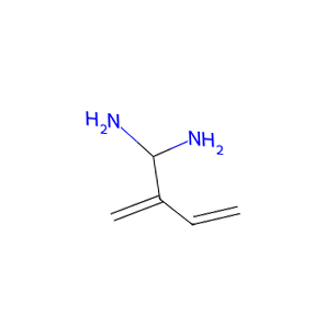 C=CC(=C)C(N)N